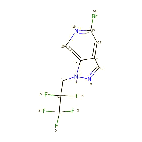 FC(F)(F)C(F)(F)Cn1ncc2cc(Br)ncc21